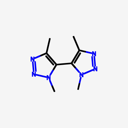 Cc1nnn(C)c1-c1c(C)nnn1C